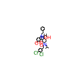 COc1ccc2c3c1OC1C(N(CC(C)C)C(=O)Cc4ccc(Cl)c(Cl)c4)CC[C@@]4(O)[C@@H](C2)N(CCc2ccccc2)CC[C@]314